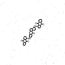 O=C1c2ccccc2C(=O)c2c(Nc3ccc4c(c3)Cc3ccc5cc(Nc6cccc7c6C(=O)c6ccccc6C7=O)ccc5c3C4=O)cccc21